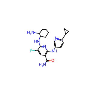 NC(=O)c1cc(F)c(NC2CCCCC2N)nc1Nc1ccc(C2CC2)nc1